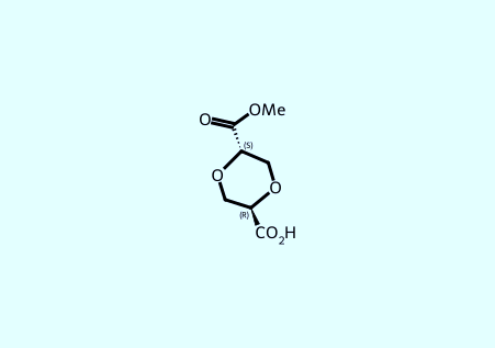 COC(=O)[C@@H]1CO[C@@H](C(=O)O)CO1